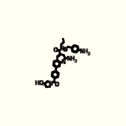 CCCN(OCc1ccc(N)cc1)C(=O)C1=Cc2ccc(-c3ccc(C(=O)N4CC[C@@H](O)C4)cc3)cc2N=C(N)C1